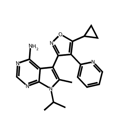 Cc1c(-c2noc(C3CC3)c2-c2ccccn2)c2c(N)ncnc2n1C(C)C